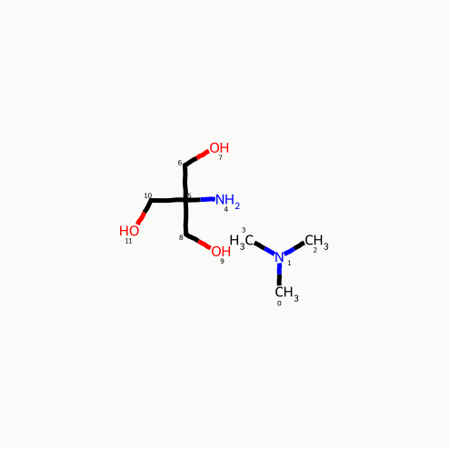 CN(C)C.NC(CO)(CO)CO